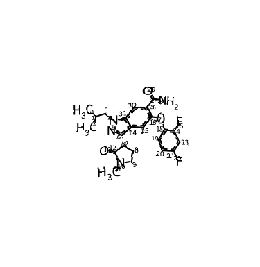 CC(C)Cn1nc([C@@H]2CCN(C)C2=O)c2cc(Oc3ccc(F)cc3F)c(C(N)=O)cc21